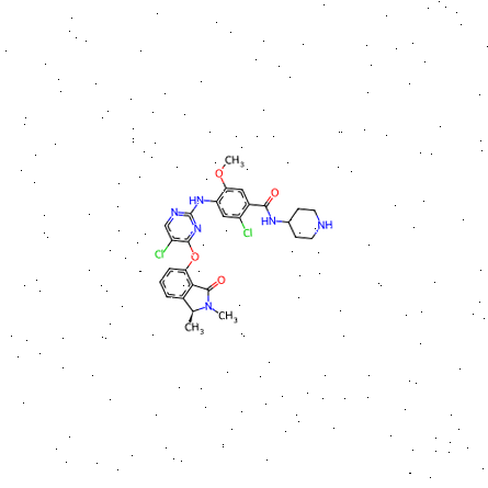 COc1cc(C(=O)NC2CCNCC2)c(Cl)cc1Nc1ncc(Cl)c(Oc2cccc3c2C(=O)N(C)[C@H]3C)n1